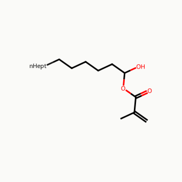 C=C(C)C(=O)OC(O)CCCCCCCCCCCC